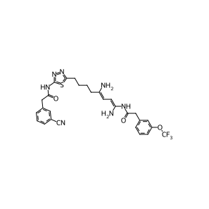 N#Cc1cccc(CC(=O)Nc2nnc(CCCC/C(N)=C/C=C(\N)NC(=O)Cc3cccc(OC(F)(F)F)c3)s2)c1